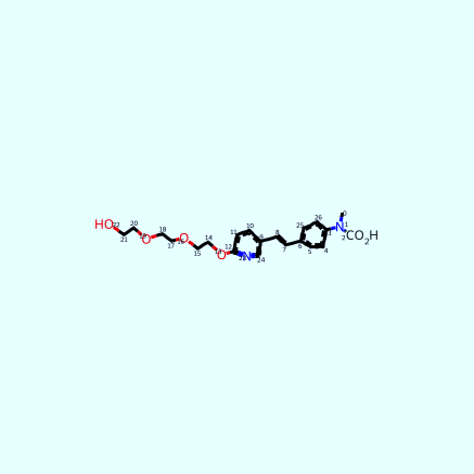 CN(C(=O)O)c1ccc(C=Cc2ccc(OCCOCCOCCO)nc2)cc1